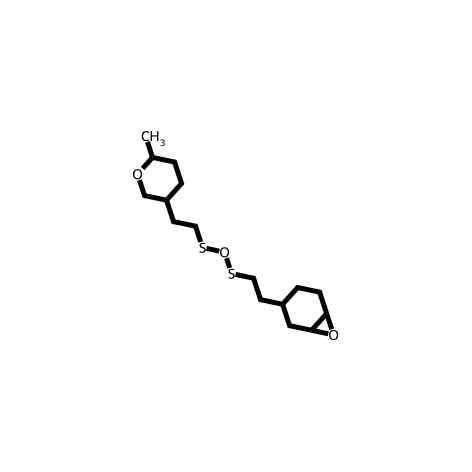 CC1CCC(CCSOSCCC2CCC3OC3C2)CO1